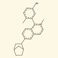 Cc1ccc(C(C)C)cc1-c1c2ccc(C3CC4CCC3C4)cc2cc[n+]1C